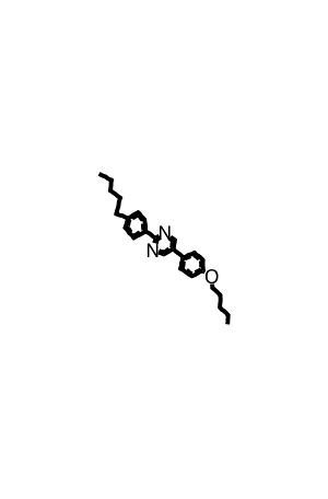 CCCCCOc1ccc(-c2cnc(-c3ccc(CCCCC)cc3)nc2)cc1